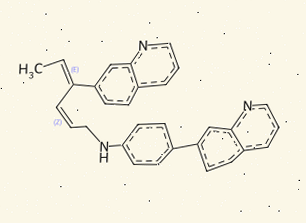 C/C=C(\C=C/CNc1ccc(-c2ccc3cccnc3c2)cc1)c1ccc2cccnc2c1